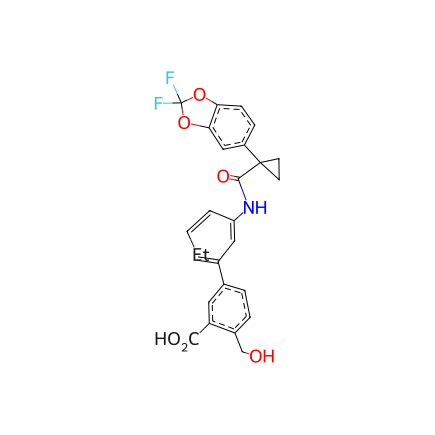 C=C(/C=C(\C=C/CC)NC(=O)C1(c2ccc3c(c2)OC(F)(F)O3)CC1)c1ccc(CO)c(C(=O)O)c1